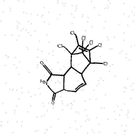 O=C1NC(=O)C2C1C=CC1C2C2(Cl)C(Cl)=C(Cl)C1(Cl)C2(Cl)Cl